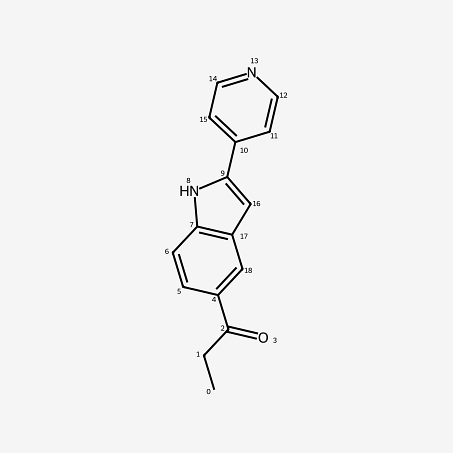 CCC(=O)c1ccc2[nH]c(-c3ccncc3)cc2c1